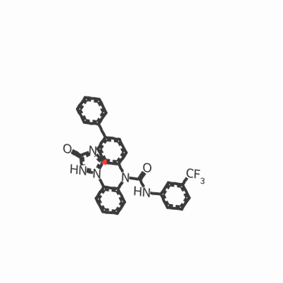 O=C(Nc1cccc(C(F)(F)F)c1)N(c1ccc(-c2ccccc2)cc1)c1ccccc1-n1cnc(=O)[nH]1